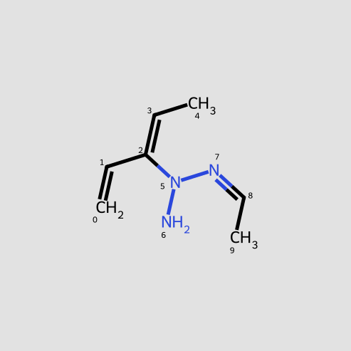 C=C/C(=C/C)N(N)/N=C\C